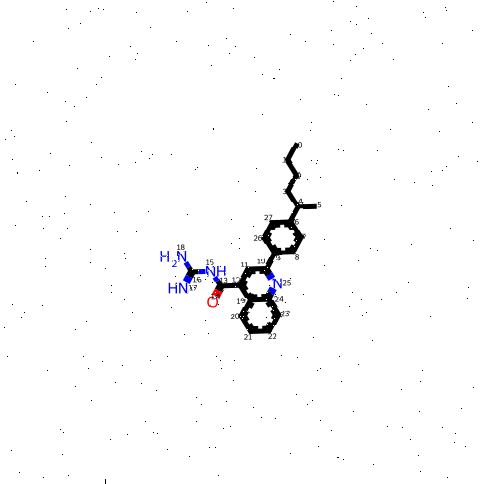 CCCCC(C)c1ccc(-c2cc(C(=O)NC(=N)N)c3ccccc3n2)cc1